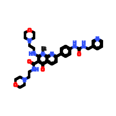 CCn1c(NCCN2CCOCC2)c(C(=O)NCCN2CCOCC2)c(=O)c2ccc(-c3ccc(NC(=O)NCc4cccnc4)cc3)nc21